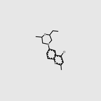 CCC1CN(c2ccc3nc(C)cc(Cl)c3c2)CC(C)O1